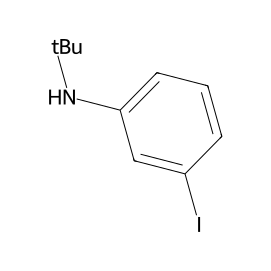 CC(C)(C)Nc1cccc(I)c1